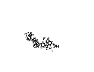 CN(c1cc(CO)cc(C(F)(F)F)n1)C1CCN([C@H]2C[C@](CC#N)(n3cc(-c4ncnc5[nH]ccc45)cn3)C2)CC1